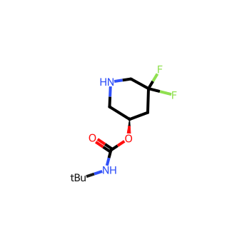 CC(C)(C)NC(=O)O[C@H]1CNCC(F)(F)C1